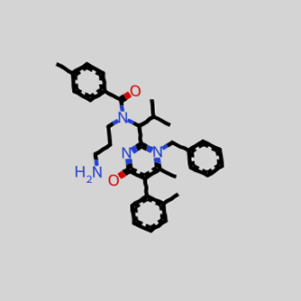 Cc1ccc(C(=O)N(CCCN)C(c2nc(=O)c(-c3ccccc3C)c(C)n2Cc2ccccc2)C(C)C)cc1